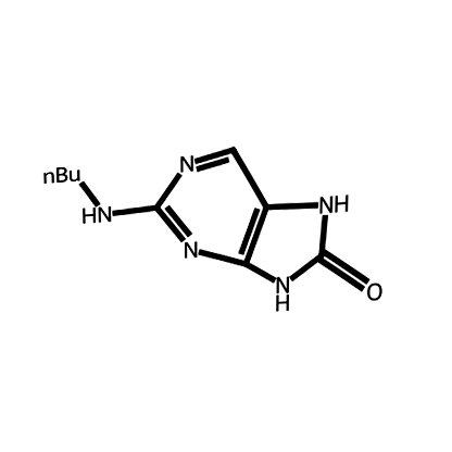 CCCCNc1ncc2[nH]c(=O)[nH]c2n1